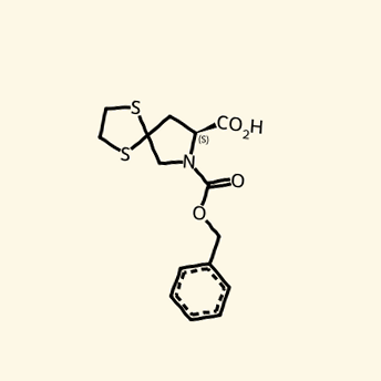 O=C(O)[C@@H]1CC2(CN1C(=O)OCc1ccccc1)SCCS2